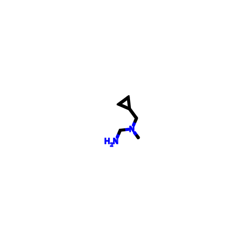 CN(CN)CC1CC1